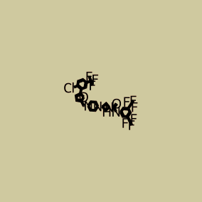 O=C(Nc1cc(C(F)(F)F)cc(C(F)(F)F)c1)N1CC(N2CCN(Cc3ccc(-c4cc(C(F)(F)F)ccc4Cl)o3)CC2)C1